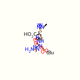 C#CCn1nnnc1SCC1=C(C(=O)O)N2C(=O)C(NC(=O)C(=NOCC(=O)OC(C)(C)C)c3nsc(N)n3)[C@@H]2SC1